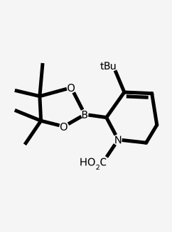 CC(C)(C)C1=CCCN(C(=O)O)C1B1OC(C)(C)C(C)(C)O1